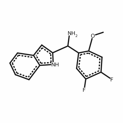 COc1cc(F)c(F)cc1C(N)c1cc2ccccc2[nH]1